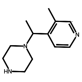 Cc1[c]nccc1C(C)N1CCNCC1